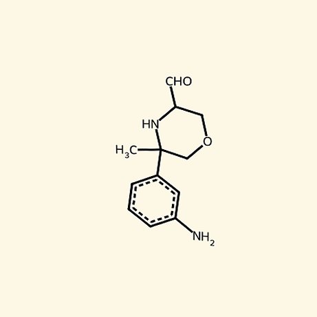 CC1(c2cccc(N)c2)COCC(C=O)N1